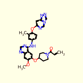 C=CC(=O)N1CCC(Oc2cc3c(Nc4ccc(Oc5cc6nncn6cn5)c(C)c4)ncnc3cc2OC)CC1